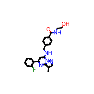 Cc1cnn2c(NCc3ccc(C(=O)NCCO)cc3)cc(-c3ccccc3F)nc12